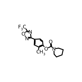 Cc1cc(-c2noc(C(F)(F)F)n2)ccc1OC(=O)N1CCCCC1